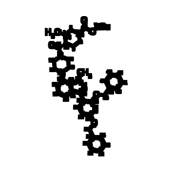 C[C@H]1CN(C(=O)OC(C)(C)C)CC[C@@H]1C(=O)N1CCN(c2cccc3c(-c4ccc(OCc5ccccc5)nc4OCc4ccccc4)nn(C)c23)CC1